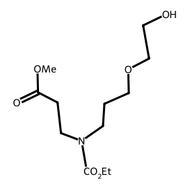 CCOC(=O)N(CCCOCCO)CCC(=O)OC